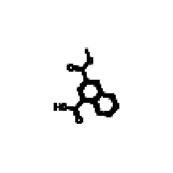 COC(=O)c1cc(C(=O)O)c2ccccc2c1